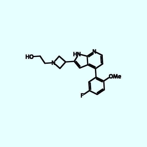 COc1ccc(F)cc1-c1ccnc2[nH]c(C3CN(CCO)C3)cc12